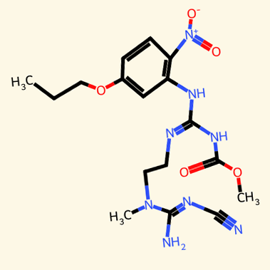 CCCOc1ccc([N+](=O)[O-])c(NC(=NCCN(C)C(N)=NC#N)NC(=O)OC)c1